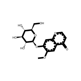 COc1cc2c(=O)ccoc2cc1O[C@@H]1O[C@H](CO)[C@@H](O)[C@H](O)[C@H]1O